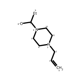 C=CCN1CCN(C([O])CC)CC1